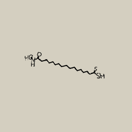 O=C(CCCCCCCCCCCCCCCC(=S)S)NO